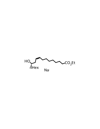 CCCCCC[C@@H](O)C/C=C\CCCCCCCC(=O)OCC.[Na]